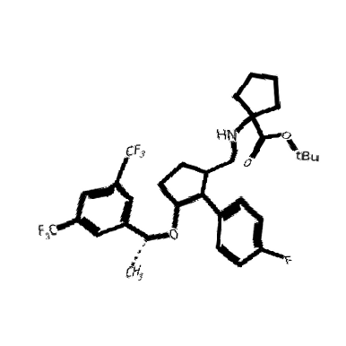 C[C@@H](OC1CCC(CNC2(C(=O)OC(C)(C)C)CCCC2)C1c1ccc(F)cc1)c1cc(C(F)(F)F)cc(C(F)(F)F)c1